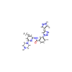 Cc1ccc(C(=O)Nc2cc(C(F)(F)F)cc(N3CCN(C)CC3)n2)cc1-n1cc(-c2cnn(C)c2C)nn1